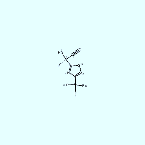 C#C[C@](C)(O)c1nc(C(F)(F)F)cs1